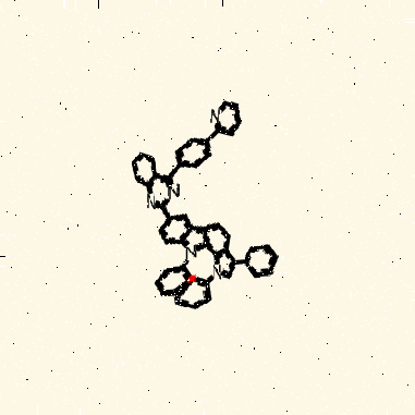 c1ccc(-c2cn(-c3ccccc3)c3c2ccc2c4cc(-c5nc(-c6ccc(-c7ccccn7)cc6)c6ccccc6n5)ccc4n(-c4ccccc4)c23)cc1